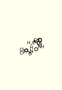 CN(C)c1cc(N[C@H]2CC[C@@H](CNC(=O)c3ccc(Cl)c(Cl)c3)CC2)nc2ccccc12